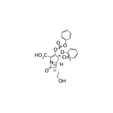 C[C@H]1C(OP(=O)(Oc2ccccc2)Oc2ccccc2)=C(C(=O)O)N2C(=O)[C@@H](CCO)[C@H]12